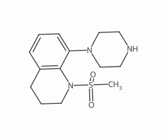 CS(=O)(=O)N1CCCc2cccc(N3CCNCC3)c21